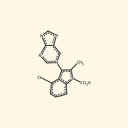 Cc1c(-n2cnc3ncnc-3c2)c2c(Cl)cccc2n1C(=O)O